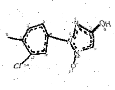 Cc1ccc(-n2nc(O)c[n+]2[O-])cc1Cl